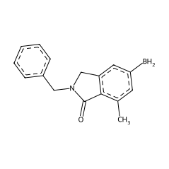 Bc1cc(C)c2c(c1)CN(Cc1ccccc1)C2=O